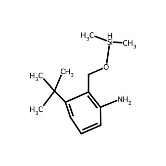 C[SiH](C)OCc1c(N)cccc1C(C)(C)C